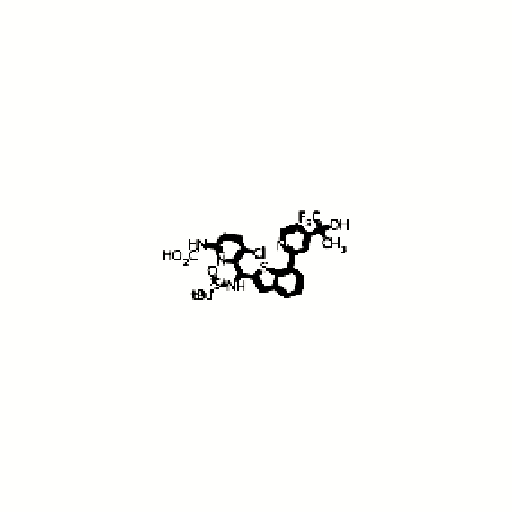 CC(C)(C)[S@+]([O-])NC(c1cc2cccc(-c3cc(C(C)(O)C(F)(F)F)ccn3)c2s1)c1nc(NC(=O)O)ccc1Cl